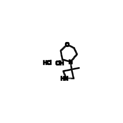 CC1(N2CCOCC2)CNC1.Cl.Cl